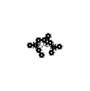 CC1(C)c2cc(-c3nc(-c4ccccc4)nc(-c4ccccc4)n3)ccc2-n2c3ccccc3c3cc(-c4cccc(-c5nc(-c6ccccc6)nc(-c6ccc(-c7ccccc7)cc6)n5)c4)cc1c32